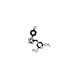 C[C@@H]1CN(Cc2nnnn2-c2ccc(Cl)cc2)C[C@H](C)O1